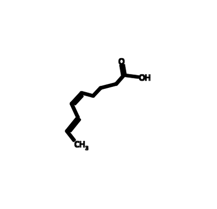 C/C=C/C=C\CCCC(=O)O